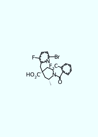 C[C@@H]1C[C@](Cc2nc(Br)ccc2F)(C(=O)O)CCN1C(=O)c1ccccc1C(F)(F)F